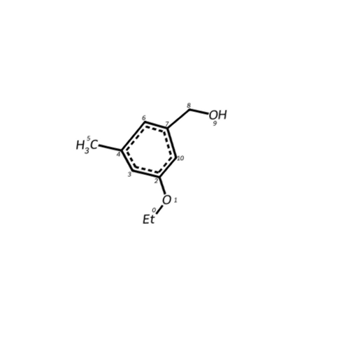 CCOc1cc(C)cc(CO)c1